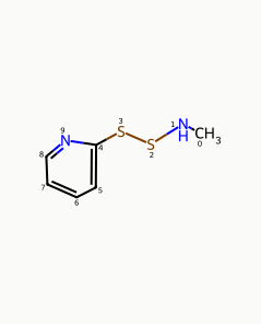 CNSSc1ccccn1